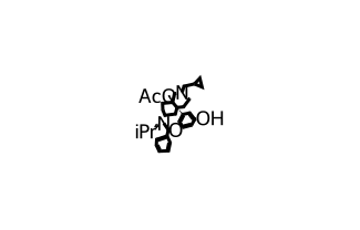 CC(=O)O[C@]12CC[C@@H](N(CC(C)C)C(=O)c3ccccc3)C[C@]1(c1cccc(O)c1)CCN(CC1CC1)C2